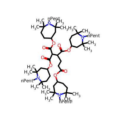 CCCCCN1C(C)(C)CCC(OC(=O)CCC(C(=O)OC2CCC(C)(C)N(CCCCC)C(C)(C)C2)C(C(=O)OC2CCC(C)(C)N(CCCCC)C(C)(C)C2)C(=O)OC2CCC(C)(C)N(CCCCC)C(C)(C)C2)CC1(C)C